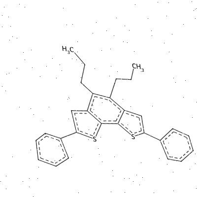 CCCc1c(CCC)c2cc(-c3ccccc3)sc2c2sc(-c3ccccc3)cc12